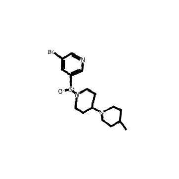 CC1CCN(C2CCN([S+]([O-])c3cncc(Br)c3)CC2)CC1